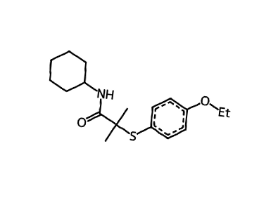 CCOc1ccc(SC(C)(C)C(=O)NC2CCCCC2)cc1